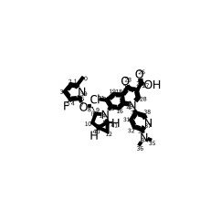 Cc1ccc(F)c(OC[C@H]2C[C@H]3C[C@H]3N2c2cc3c(cc2Cl)c(=O)c(C(=O)O)cn3-c2ccc(N(C)C)nc2)n1